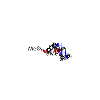 COCCCOc1cc(C[C@@H](C[C@H](N)[C@@H](O)C[C@H](C(=O)NCc2cccc(-n3cccc3)c2)C(C)C)C(C)C)ccc1OC